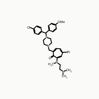 COc1ccc(C(c2ccc(Cl)cc2)N2CCN(Cc3ccc(C(C)C)cc(N(C)CCN(C)C)c3=O)CC2)cc1